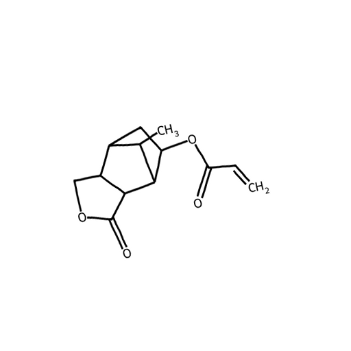 C=CC(=O)OC1CC2C(C)C1C1C(=O)OCC21